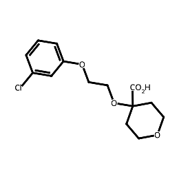 O=C(O)C1(OCCOc2cccc(Cl)c2)CCOCC1